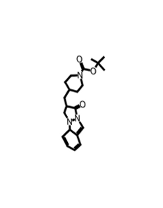 CC(C)(C)OC(=O)N1CCC(CC2CN3C4C=CC=CC4=CN3C2=O)CC1